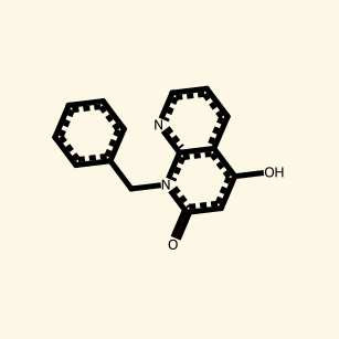 O=c1cc(O)c2cccnc2n1Cc1ccccc1